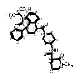 C[C@@H](NC(=O)[C@@]1(c2ccccc2)CC[C@H](C(=O)N2CCC(NC(=O)c3cccn(C)c3=O)CC2)c2ccccc21)C(=O)O